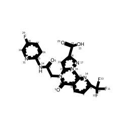 O=C(Cn1c(=O)c2ccc(C(F)(F)F)nc2n2nc(C(=O)O)cc12)Nc1ccc(F)cn1